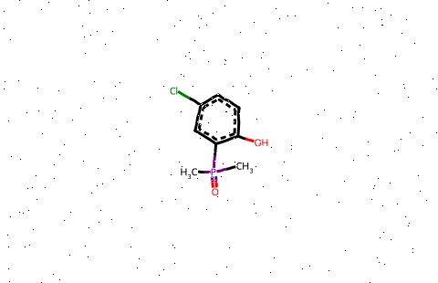 CP(C)(=O)c1cc(Cl)ccc1O